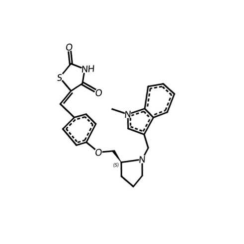 Cn1cc(CN2CCC[C@H]2COc2ccc(C=C3SC(=O)NC3=O)cc2)c2ccccc21